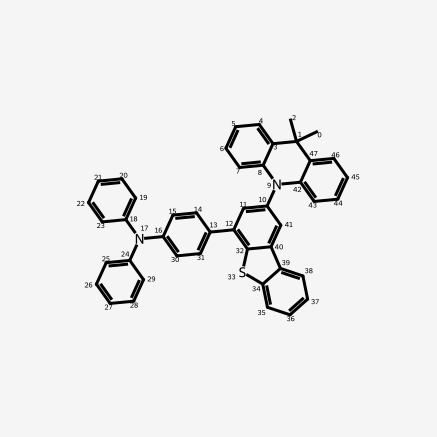 CC1(C)c2ccccc2N(c2cc(-c3ccc(N(c4ccccc4)c4ccccc4)cc3)c3sc4ccccc4c3c2)c2ccccc21